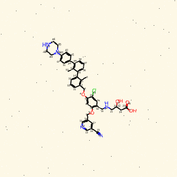 Cc1c(COc2cc(OCc3cncc(C#N)c3)c(CNC[C@@H](O)CC(=O)O)cc2Cl)cccc1-c1cccc(-c2ccc(N3CCNCC3)cc2)c1C